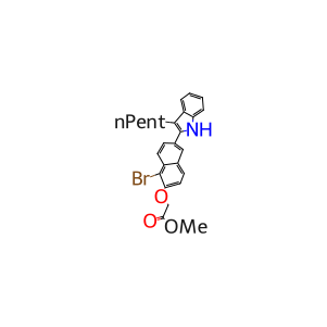 CCCCCc1c(-c2ccc3c(Br)c(OCC(=O)OC)ccc3c2)[nH]c2ccccc12